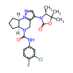 C[C@@H]1N(c2cnn3c2CN(C(=O)Nc2ccc(F)c(Cl)c2)[C@H]2CCC[C@H]23)C(=O)OC1(C)C